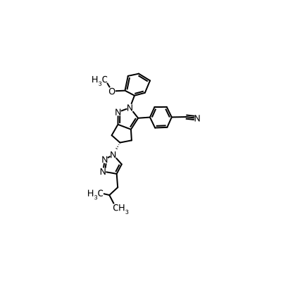 COc1ccccc1-n1nc2c(c1-c1ccc(C#N)cc1)C[C@H](n1cc(CC(C)C)nn1)C2